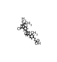 Cc1cc(CCC(=O)O)ccc1-c1noc(-c2ccc3c(c2)c(Cl)nn3C(C)C)n1